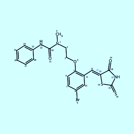 CN(CCOc1ccc(Br)cc1/C=C1\SC(=S)NC1=O)C(=O)Nc1ccccc1